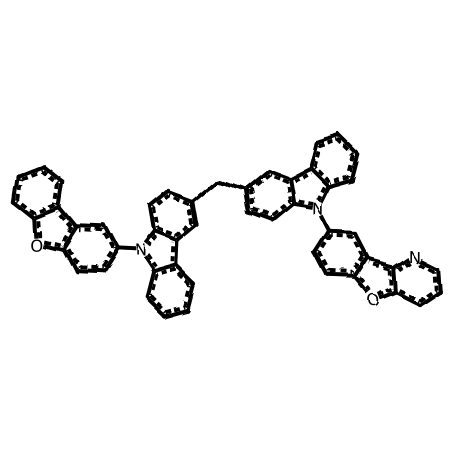 c1ccc2c(c1)oc1ccc(-n3c4ccccc4c4cc(Cc5ccc6c(c5)c5ccccc5n6-c5ccc6oc7cccnc7c6c5)ccc43)cc12